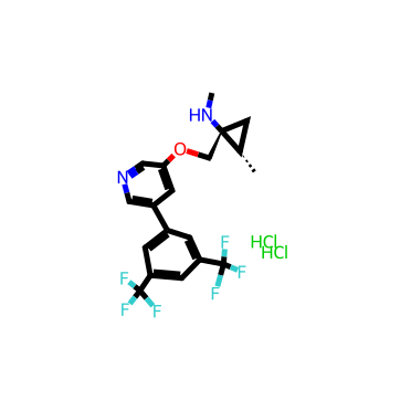 CN[C@]1(COc2cncc(-c3cc(C(F)(F)F)cc(C(F)(F)F)c3)c2)C[C@@H]1C.Cl.Cl